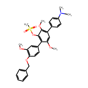 COc1cc(-c2c(OC)cc(-c3ccc(N(C)C)cc3)c(OC)c2OS(C)(=O)=O)ccc1OCc1ccccc1